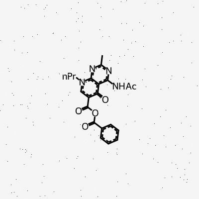 CCCn1cc(C(=O)OC(=O)c2ccccc2)c(=O)c2c(NC(C)=O)nc(C)nc21